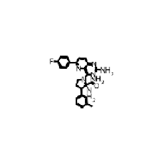 Cc1cccc(C2CCN(c3nc(N)nc4ccc(-c5ccc(F)cc5)nc34)[C@]2(N)C(N)=O)c1